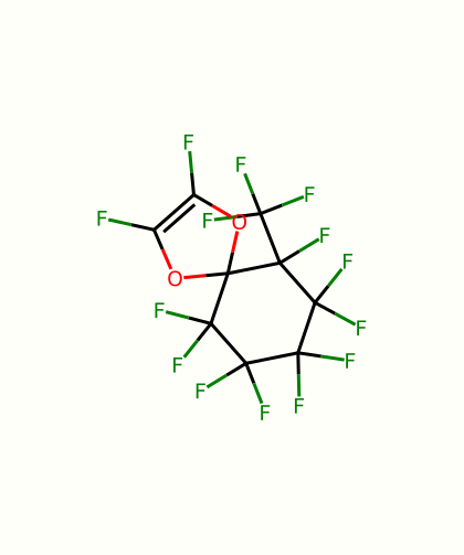 FC1=C(F)OC2(O1)C(F)(F)C(F)(F)C(F)(F)C(F)(F)C2(F)C(F)(F)F